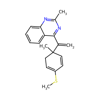 C=C(c1nc(C)nc2ccccc12)C1(C)C=CC(SC)=CC1